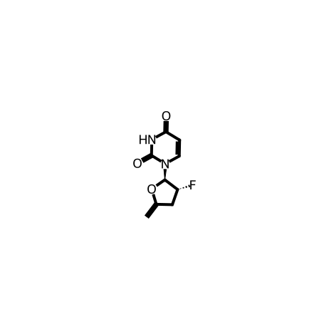 C=C1C[C@@H](F)[C@H](n2ccc(=O)[nH]c2=O)O1